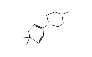 CN1CCN(C2=CCC(C)(I)C=C2)CC1